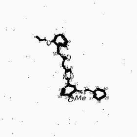 C=CCOc1ccccc1CC(=O)Cc1coc(-c2ccc(OC)c(OCc3ccccc3)c2)n1